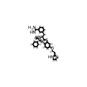 N=C(N)c1cccc(CC(NS(=O)(=O)c2ccccc2)c2nc3ccc(OCCc4ncc[nH]4)cc3s2)c1